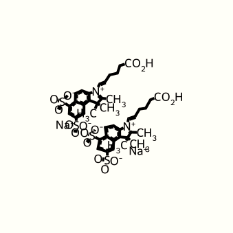 CC1=[N+](C=CCCCC(=O)O)c2ccc3c(S(=O)(=O)[O-])cc(S(=O)(=O)[O-])cc3c2C1(C)C.CC1=[N+](C=CCCCC(=O)O)c2ccc3c(S(=O)(=O)[O-])cc(S(=O)(=O)[O-])cc3c2C1(C)C.[Na+].[Na+]